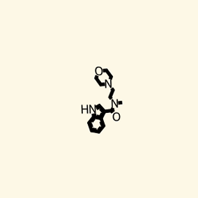 CN(CCN1CCOCC1)C(=O)c1c[nH]c2ccccc12